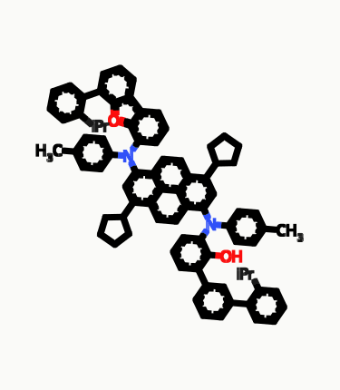 Cc1ccc(N(c2cccc(-c3cccc(-c4ccccc4C(C)C)c3)c2O)c2cc(C3CCCC3)c3ccc4c(N(c5ccc(C)cc5)c5cccc6c5oc5c(-c7ccccc7C(C)C)cccc56)cc(C5CCCC5)c5ccc2c3c54)cc1